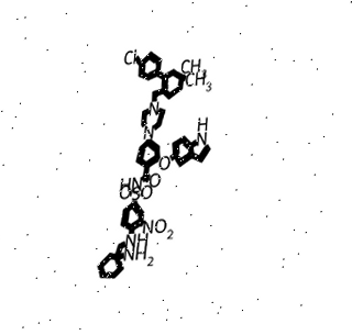 CC1(C)CCC(CN2CCN(c3ccc(C(=O)NS(=O)(=O)c4ccc(NCC5(N)CCCCC5)c([N+](=O)[O-])c4)c(Oc4ccc5[nH]ccc5c4)c3)CC2)=C(c2ccc(Cl)cc2)C1